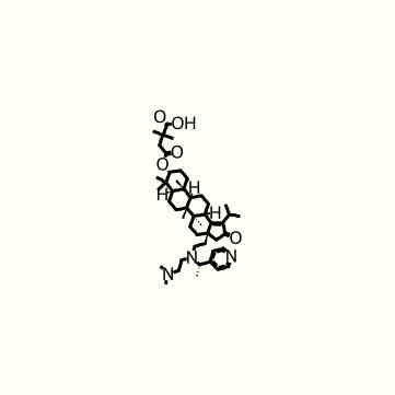 CC(C)C1=C2[C@H]3CC[C@@H]4[C@@]5(C)CC[C@H](OC(=O)CC(C)(C)C(=O)O)C(C)(C)[C@@H]5CC[C@@]4(C)[C@]3(C)CC[C@@]2(CCN(CCN(C)C)[C@@H](C)c2ccncc2)CC1=O